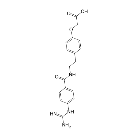 N=C(N)Nc1ccc(C(=O)NCCc2ccc(OCC(=O)O)cc2)cc1